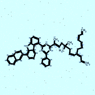 C=C/C=C\C=C/CC(/C=C\CC(C)(C)C/C=C(\C)c1nc(-c2ccccc2)nc(-c2cccc3oc4c(-c5ccc6ccccc6c5)cccc4c23)n1)=C/C=C